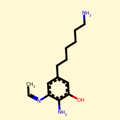 C/C=N\c1cc(CCCCCCN)cc(O)c1N